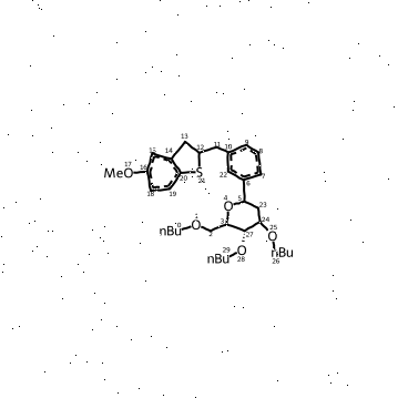 CCCCOCC1OC(c2cccc(CC3Cc4cc(OC)ccc4S3)c2)CC(OCCCC)[C@@H]1OCCCC